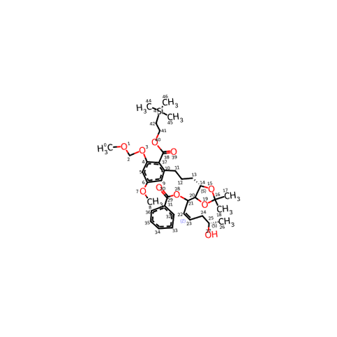 COCOc1cc(OC)cc(CCC[C@@H]2OC(C)(C)OC2C(/C=C\C[C@H](C)O)OC(=O)c2ccccc2)c1C(=O)OCC[Si](C)(C)C